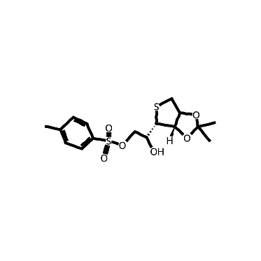 Cc1ccc(S(=O)(=O)OCC(O)[C@@H]2SCC3OC(C)(C)O[C@@H]32)cc1